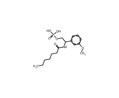 CCCCCCC(=O)NC(COP(=O)(O)O)c1cccc(OC)c1